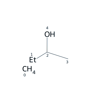 C.CCC(C)O